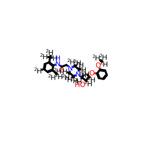 [2H]c1cc(C([2H])([2H])[2H])c(NC(=O)CN2C([2H])([2H])C([2H])([2H])N(C([2H])([2H])C([2H])(O)C([2H])([2H])Oc3ccccc3OC([2H])([2H])[2H])C([2H])([2H])C2([2H])[2H])c(C([2H])([2H])[2H])c1